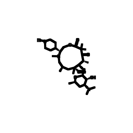 CCN1CCC([C@@H]2COC(=O)C(C)(C)C(=O)[C@H](C)[C@@H](O[C@@H]3O[C@H](C)C[C@H](N(C)C)[C@H]3O)[C@](C)(OC)C[C@@H](C)CN2C)CC1